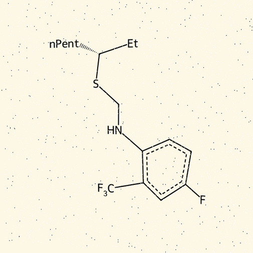 CCCCC[C@H](CC)SCNc1ccc(F)cc1C(F)(F)F